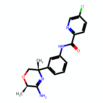 C[C@H]1OC[C@](C)(c2cccc(NC(=O)c3ccc(Cl)cn3)c2)N=C1N